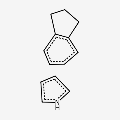 c1cc[nH]c1.c1ccc2c(c1)CCC2